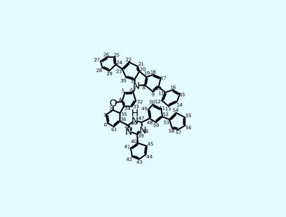 C1=CC2Oc3cc(-n4c5cc(-c6ccccc6)ccc5c5ccc(-c6ccccc6)cc54)ccc3C2C(C2=NC(c3ccccc3)=NC(c3cccc(-c4ccccc4)c3)N2)=C1